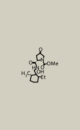 CCC1CCC[C@H](C)[C@@]1(O)CNC(=O)[C@@H]1CC(=O)CN1C(=O)OC